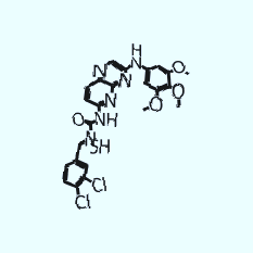 COc1cc(Nc2cnc3ccc(NC(=O)N(S)Cc4ccc(Cl)c(Cl)c4)nc3n2)cc(OC)c1OC